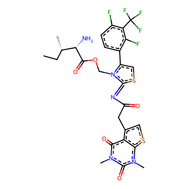 CC[C@H](C)[C@H](N)C(=O)OCn1c(-c2ccc(F)c(C(F)(F)F)c2F)cs/c1=N\C(=O)Cc1csc2c1c(=O)n(C)c(=O)n2C